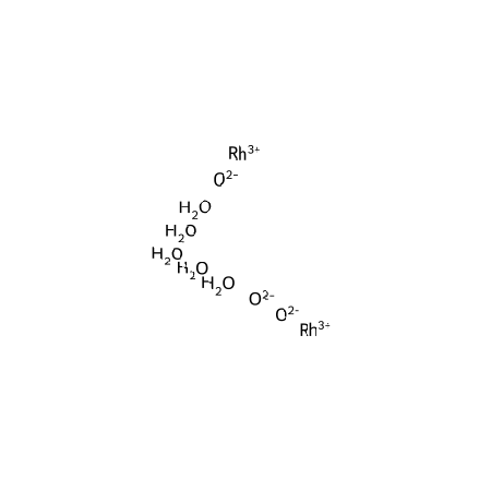 O.O.O.O.O.[O-2].[O-2].[O-2].[Rh+3].[Rh+3]